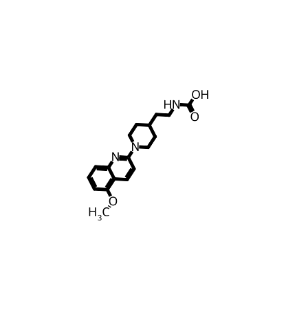 COc1cccc2nc(N3CCC(CCNC(=O)O)CC3)ccc12